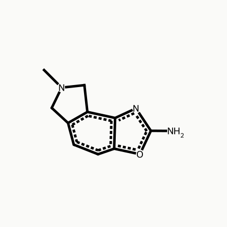 CN1Cc2ccc3oc(N)nc3c2C1